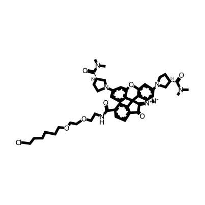 CN(C)C(=O)[C@H]1CCN(c2ccc3c(c2)Oc2cc(N4CC[C@H](C(=O)N(C)C)C4)ccc2C32C(=[N+]=[N-])C(=O)c3ccc(C(=O)NCCOCCOCCCCCCCl)cc32)C1